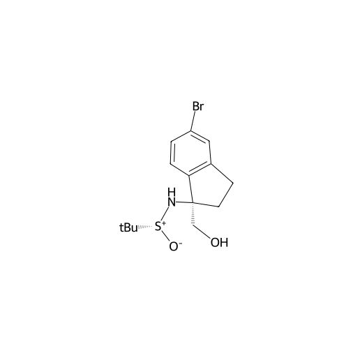 CC(C)(C)[S@@+]([O-])N[C@]1(CO)CCc2cc(Br)ccc21